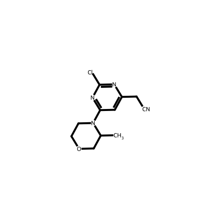 CC1COCCN1c1cc(CC#N)nc(Cl)n1